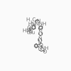 Cc1cnc(Nc2ccc(N3CCC(N4CCN(Cc5ccccc5N5CCC(=O)NC5=O)CC4)CC3)cc2)nc1Nc1cccc(S(=O)(=O)NC(C)(C)C)c1